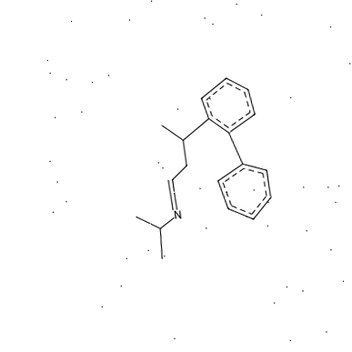 CC(C)N=CCC(C)c1ccccc1-c1ccccc1